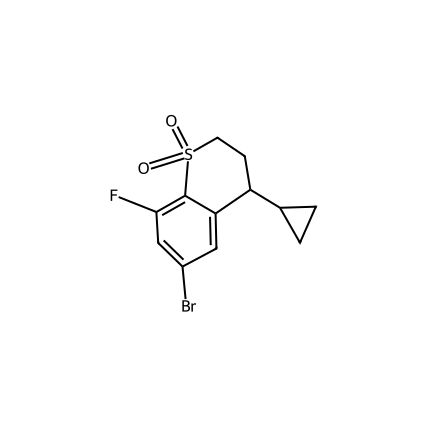 O=S1(=O)CCC(C2CC2)c2cc(Br)cc(F)c21